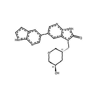 O=c1[nH]c2ncc(-c3cnc4[nH]ccc4c3)cc2n1C[C@H]1COC[C@H](O)C1